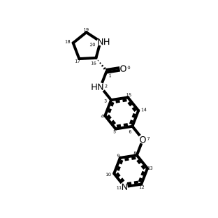 O=C(Nc1ccc(Oc2ccncc2)cc1)[C@@H]1CCCN1